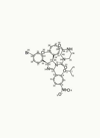 CC(C)Oc1cc([N+](=O)[O-])ccc1C1=N[C@@H](c2ccc(Br)cc2)[C@@H](c2ccccc2Cl)N1C(=O)N1CCNC(=O)C1